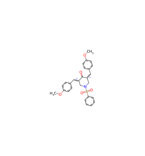 COc1ccc(/C=C2/CN(S(=O)(=O)c3ccccc3)C/C(=C\c3ccc(OC)cc3)C2=O)cc1